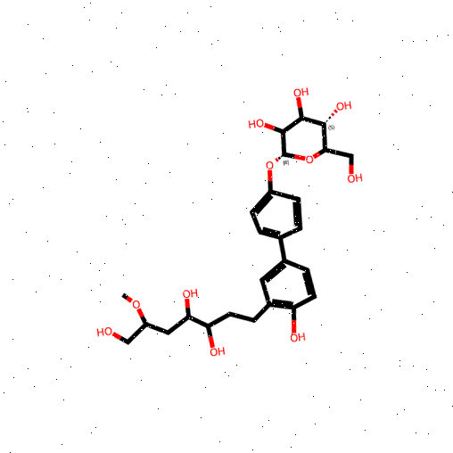 COC(CO)CC(O)C(O)CCc1cc(-c2ccc(O[C@H]3OC(CO)[C@@H](O)C(O)C3O)cc2)ccc1O